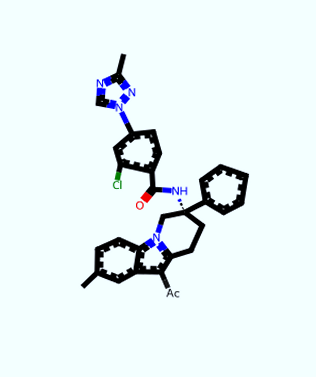 CC(=O)c1c2n(c3ccc(C)cc13)C[C@@](NC(=O)c1ccc(-n3cnc(C)n3)cc1Cl)(c1ccccc1)CC2